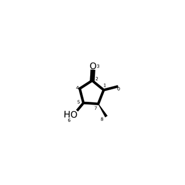 CC1C(=O)CC(O)[C@@H]1C